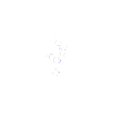 Cc1cc(F)cc(C)c1-n1cc(/C(=N/OCc2ccccn2)c2ccc(F)cc2F)ccc1=O